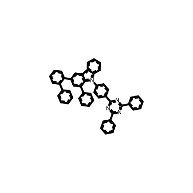 c1ccc(-c2nc(-c3ccccc3)nc(-c3ccc(-n4c5ccccc5c5cc(-c6ccccc6-c6ccccc6)cc(-c6ccccc6)c54)cc3)n2)cc1